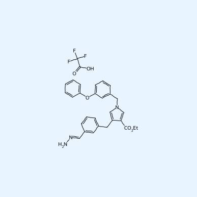 CCOC(=O)c1cn(Cc2cccc(Oc3ccccc3)c2)cc1Cc1cccc(C=NN)c1.O=C(O)C(F)(F)F